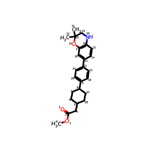 COC(=O)CC1CCC(c2ccc(-c3ccc4c(c3)OC(C)(C)CN4)cc2)CC1